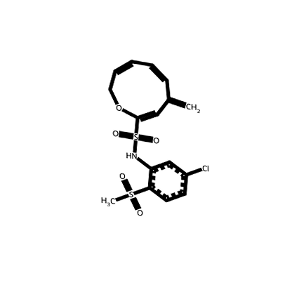 C=C1/C=C\C=C/CO/C(S(=O)(=O)Nc2cc(Cl)ccc2S(C)(=O)=O)=C\1